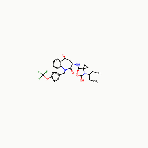 CCC(CC)N(C(=O)O)C1(C(=O)N[C@@H]2CC(=O)c3ccccc3N(Cc3ccc(OC(F)(F)F)cc3)C2=O)CC1